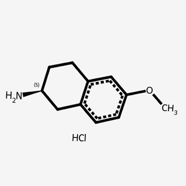 COc1ccc2c(c1)CC[C@H](N)C2.Cl